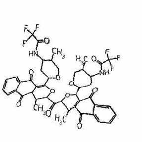 CC1COC(C2=C3C(=O)c4ccccc4C(=O)C3C(C)C(C(=O)[C@H]3O[C@@H](C4CC(NC(=O)C(F)(F)F)[C@H](C)CO4)C4=C(C(=O)c5ccccc5C4=O)C3C)O2)CC1NC(=O)C(F)(F)F